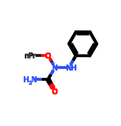 CCCON(Nc1ccccc1)C(N)=O